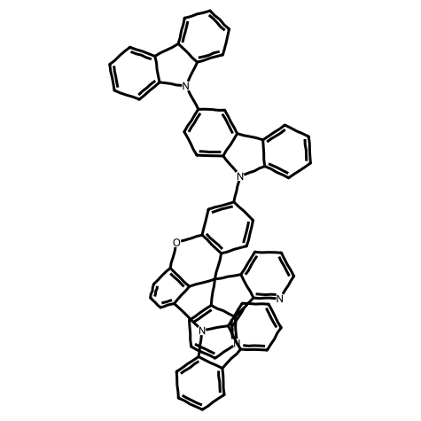 c1cc2c(c(-n3c4ccccc4c4ccccc43)c1)C1(c3ccc(-n4c5ccccc5c5cc(-n6c7ccccc7c7ccccc76)ccc54)cc3O2)c2cccnc2-c2ncccc21